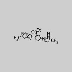 CC[S+]([O-])c1cc(N/C=C\C(=N)C(F)(F)F)ccc1-c1cn2cnc(C(F)(F)F)cc2n1